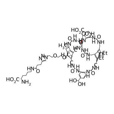 CCc1c2c(CC)c3c(CC)c1CNC(=O)Nc1ccc(C(=O)O)cc1NC(=O)C1(NCc4c(C)c(c(OCCOCCn5cc(CCC(=O)NCCCC[C@H](N)C(=O)O)nn5)c5c4C(C)(C5)NC(=O)Nc4cc(C(=O)O)ccc41)CNC(=O)Nc1cc(C(O)O)ccc1NC(=O)NC2)NC(=O)NC3